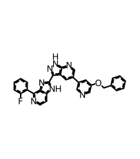 Fc1ccccc1-c1nccc2[nH]c(-c3n[nH]c4ncc(-c5cncc(OCc6ccccc6)c5)cc34)nc12